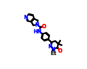 CCN1N=C(c2ccc(NC(=O)N3Cc4ccncc4C3)cc2)CC(C)(C)C1=O